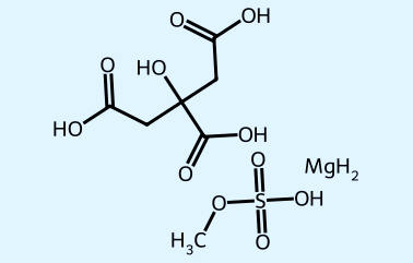 COS(=O)(=O)O.O=C(O)CC(O)(CC(=O)O)C(=O)O.[MgH2]